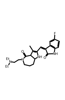 CCN(CC)CCN1CCCC2NC(C=C3C(=O)Nc4ccc(F)cc43)=C(C)C2C1=O